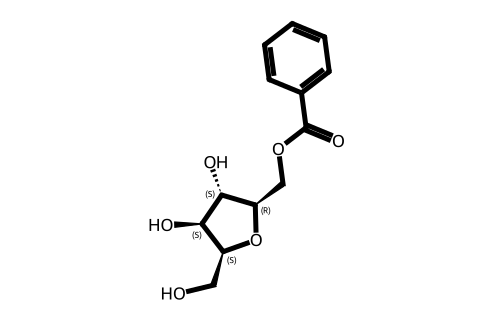 O=C(OC[C@H]1O[C@@H](CO)[C@@H](O)[C@@H]1O)c1ccccc1